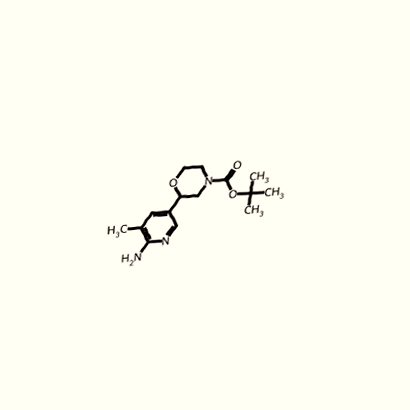 Cc1cc(C2CN(C(=O)OC(C)(C)C)CCO2)cnc1N